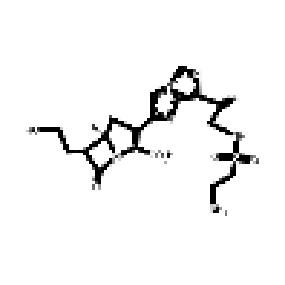 NCCS(=O)(=O)NCC(=O)c1ncn2cc(C3=C(C(=O)O)N4C(=O)[C@@H](CCO)[C@H]4C3)sc12